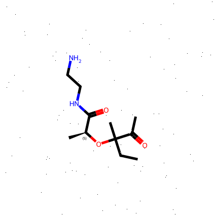 CCC(C)(O[C@@H](C)C(=O)NCCN)C(C)=O